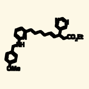 CCOC(=O)CC(/C=C/CCCCc1cccc(NCc2ccc(OC)cc2)n1)c1cncnc1